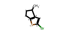 [CH2]C1CCc2sc(Br)cc21